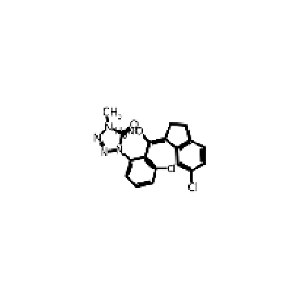 Cn1nnn(-c2cccc(Cl)c2/C(ON)=C2/CCc3ccc(Cl)cc32)c1=O